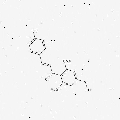 COc1cc(CO)cc(OC)c1C(=O)/C=C/c1ccc(C)cc1